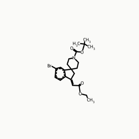 CCOC(=O)C=C1CC2(CCN(C(=O)OC(C)(C)C)CC2)c2cc(Br)ccc21